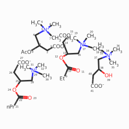 CC(=O)OC(CC(=O)[O-])C[N+](C)(C)C.CCC(=O)OC(CC(=O)[O-])C[N+](C)(C)C.CCCC(=O)OC(CC(=O)[O-])C[N+](C)(C)C.C[N+](C)(C)CC(O)CC(=O)[O-]